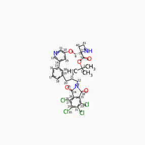 CC(C)(C)OC(=O)[C@@]1(COc2cncc(-c3cccc(CCCN4C(=O)c5c(Cl)c(Cl)c(Cl)c(Cl)c5C4=O)c3)c2)CCN1